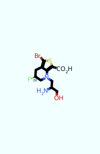 NC(CO)CN1C[C@@H](F)Cc2c(Br)sc(C(=O)O)c21